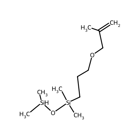 C=C(C)COCCC[Si](C)(C)O[SiH](C)C